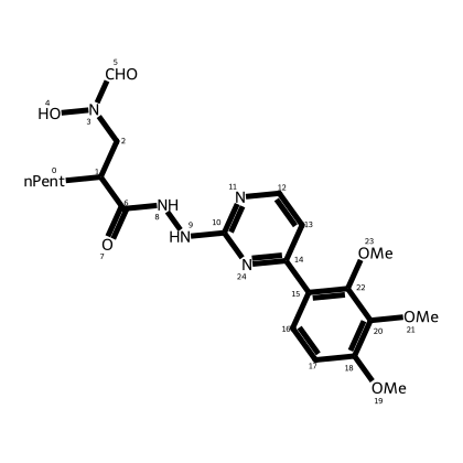 CCCCCC(CN(O)C=O)C(=O)NNc1nccc(-c2ccc(OC)c(OC)c2OC)n1